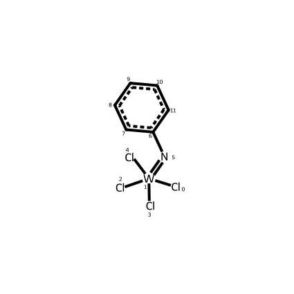 [Cl][W]([Cl])([Cl])([Cl])=[N]c1ccccc1